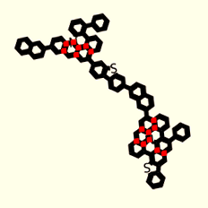 c1ccc(-c2ccccc2-c2c(-c3ccccc3)cccc2N(c2ccc(-c3ccc4ccccc4c3)cc2)c2ccc(-c3ccc4c(c3)sc3cc(-c5ccc6ccc(-c7ccc(N(c8ccccc8-c8cccc9c8sc8ccccc89)c8cccc(-c9ccccc9)c8-c8ccccc8-c8ccccc8)cc7)cc6c5)ccc34)cc2)cc1